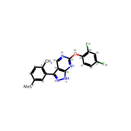 CSc1ccc(C)c(-c2n[nH]c3nc(Oc4ccc(F)cc4F)ncc23)c1